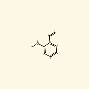 C=[C]c1ccccc1OC